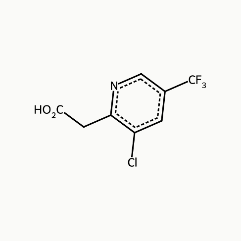 O=C(O)Cc1ncc(C(F)(F)F)cc1Cl